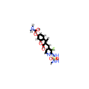 CNS(=O)(=O)Nc1nccc(Cc2c(C)c3ccc(OC(=O)N(C)C)cc3oc2=O)c1F